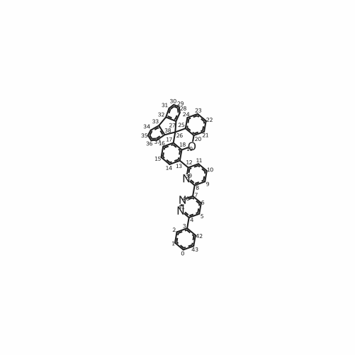 c1ccc(-c2ccc(-c3cccc(-c4cccc5c4Oc4ccccc4C54c5ccccc5-c5ccccc54)n3)nn2)cc1